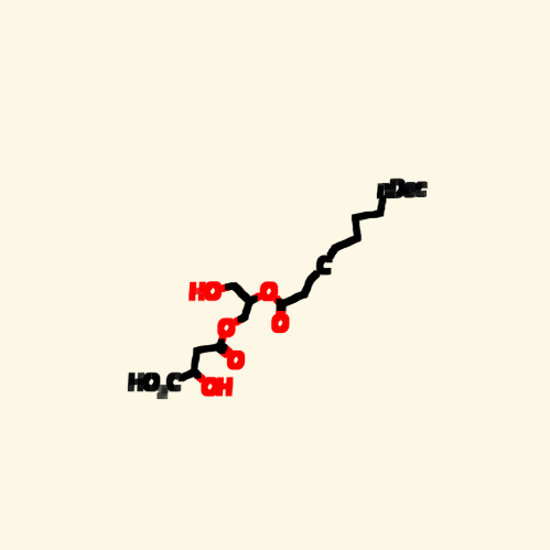 CCCCCCCCCCCCCCCCCC(=O)OC(CO)COC(=O)CC(O)C(=O)O